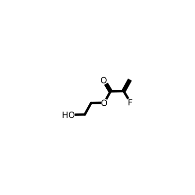 C=C(F)C(=O)OCCO